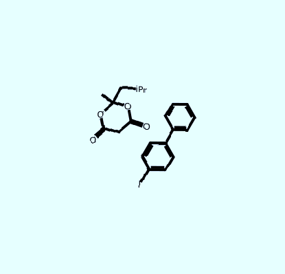 CC(C)CC1(C)OC(=O)CC(=O)O1.Ic1ccc(-c2ccccc2)cc1